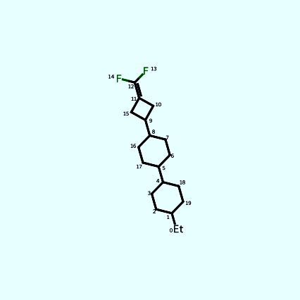 CCC1CCC(C2CCC(C3CC(=C(F)F)C3)CC2)CC1